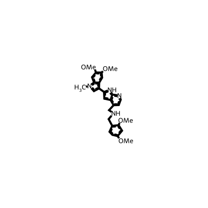 COc1ccc(CNCc2ccnc3[nH]c(-c4cn(C)c5cc(OC)c(OC)cc45)cc23)c(OC)c1